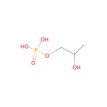 [CH2]C(O)COP(=O)(O)O